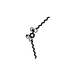 CCCCCCCCCCOC(=O)c1ccc(OCCCCCCCCCC)c(OC)c1